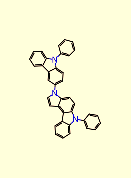 c1ccc(-n2c3ccccc3c3cc(-n4ccc5c6c7ccccc7n(-c7ccccc7)c6ccc54)ccc32)cc1